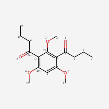 CCCC(=O)c1c(OC)cc(OC)c(C(=O)CCC)c1OC